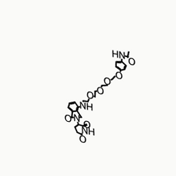 CC(=O)Nc1ccc(OCCOCCOCCOCCNc2cccc3c2CN(C2CCC(=O)NC2=O)C3=O)cc1